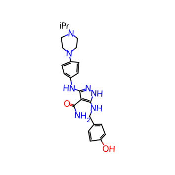 CC(C)N1CCN(c2ccc(Nc3n[nH]c(NCc4ccc(O)cc4)c3C(N)=O)cc2)CC1